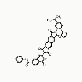 CC(C)c1ccc(C2=CC=CC2)c(N2C(=O)c3cc4cc5c(cc4cc3C2=O)C(=O)C(c2nc3cc(C(=O)Oc4ccncc4)ccc3c(=O)[nH]2)C5=O)c1